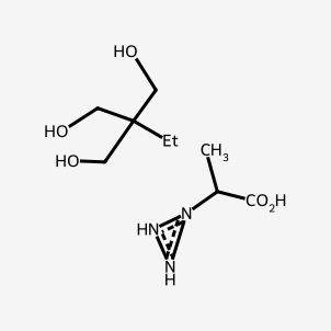 CC(C(=O)O)n1[nH][nH]1.CCC(CO)(CO)CO